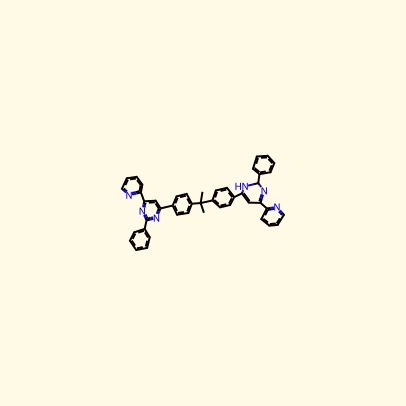 CC(C)(c1ccc(C2=CC(c3ccccn3)=NC(c3ccccc3)N2)cc1)c1ccc(-c2cc(-c3ccccn3)nc(-c3ccccc3)n2)cc1